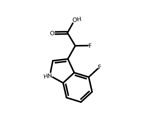 O=C(O)C(F)c1c[nH]c2cccc(F)c12